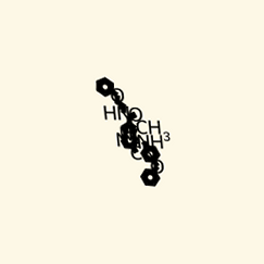 Cc1c(C(=O)NCCOc2ccccc2)cn2ncc(C#N)c(Nc3ccc(Oc4ccccc4)cc3)c12